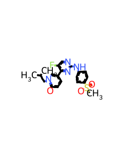 CC(C)Cn1cc(-c2nc(Nc3ccc(S(C)(=O)=O)cc3)ncc2F)ccc1=O